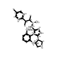 COc1cccc(OC)c1-n1c(N[S+]([O-])C(C)C(C)c2ncc(C)cn2)nnc1[C@@H]1CCOC1